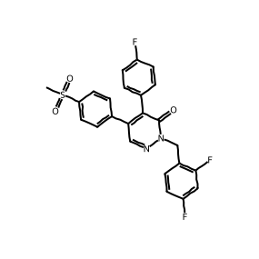 CS(=O)(=O)c1ccc(-c2cnn(Cc3ccc(F)cc3F)c(=O)c2-c2ccc(F)cc2)cc1